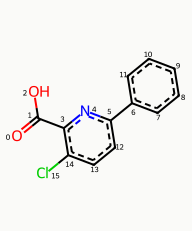 O=C(O)c1nc(-c2ccccc2)ccc1Cl